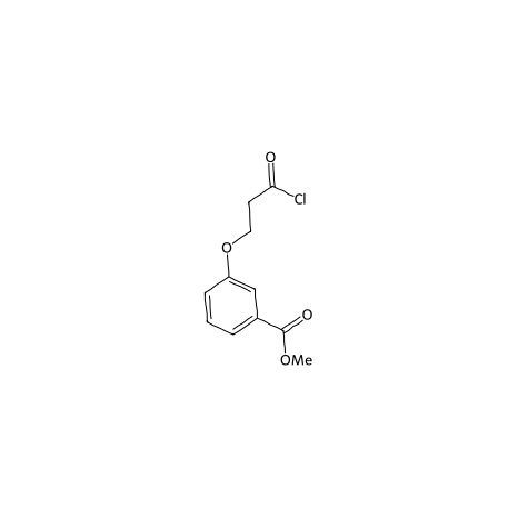 COC(=O)c1cccc(OCCC(=O)Cl)c1